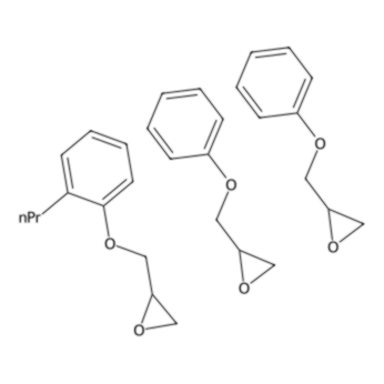 CCCc1ccccc1OCC1CO1.c1ccc(OCC2CO2)cc1.c1ccc(OCC2CO2)cc1